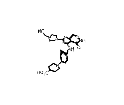 N#CCN1CCN(c2nc(Nc3ccc(N4CCC(C(=O)O)CC4)cc3)c3c(=O)[nH]ncc3n2)CC1